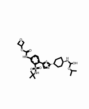 CC(C)OC(O)N[C@H]1CC[C@H](c2ncc(-c3ccc(NC(=O)OC4COC4)cc3S(=O)(=O)NC(C)(C)C)s2)CC1